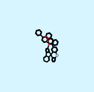 C1=C2C(=CCC1)C1(c3ccccc3Oc3ccc(-c4ccccc4)cc31)c1cc(N(c3ccc(-c4ccccc4)cc3)c3ccccc3-c3ccccc3)ccc12